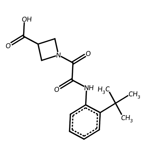 CC(C)(C)c1ccccc1NC(=O)C(=O)N1CC(C(=O)O)C1